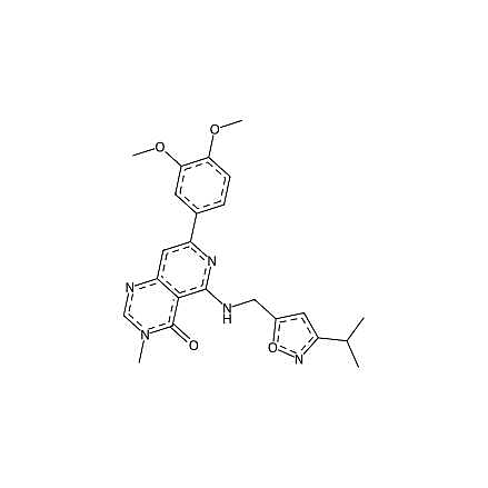 COc1ccc(-c2cc3ncn(C)c(=O)c3c(NCc3cc(C(C)C)no3)n2)cc1OC